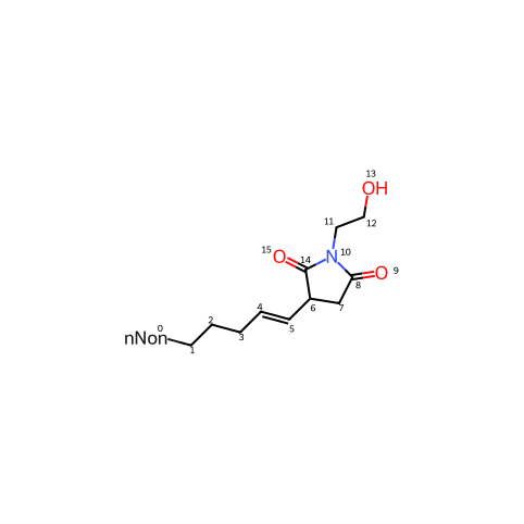 CCCCCCCCCCCCC=CC1CC(=O)N(CCO)C1=O